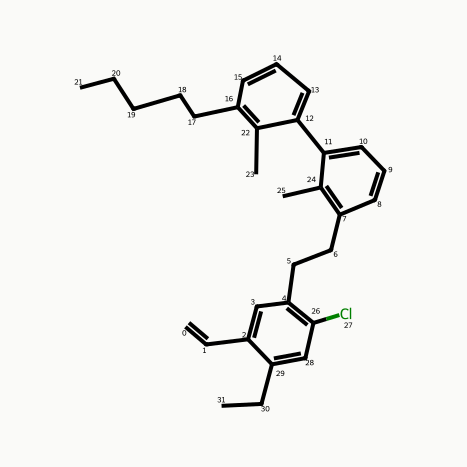 C=Cc1cc(CCc2cccc(-c3cccc(CCCCC)c3C)c2C)c(Cl)cc1CC